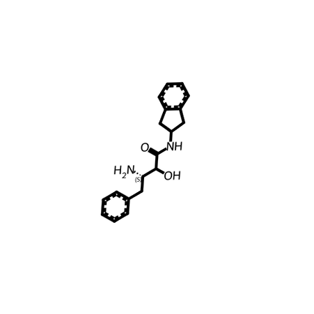 N[C@@H](Cc1ccccc1)C(O)C(=O)NC1Cc2ccccc2C1